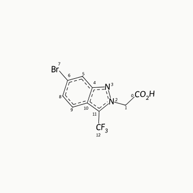 O=C(O)Cn1nc2cc(Br)ccc2c1C(F)(F)F